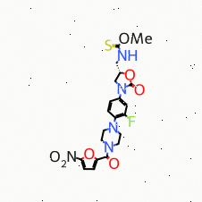 COC(=S)NC[C@H]1CN(c2ccc(N3CCN(C(=O)c4ccc([N+](=O)[O-])o4)CC3)c(F)c2)C(=O)O1